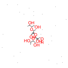 CC(O)C(CO)OC(C)[C@H](CO)OC(OC(CO)C(C)O)[C@@H](O)CO